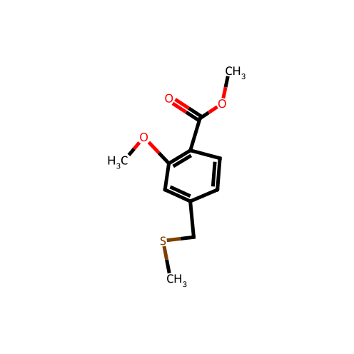 COC(=O)c1ccc(CSC)cc1OC